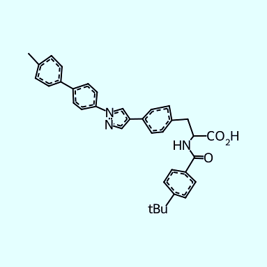 Cc1ccc(-c2ccc(-n3cc(-c4ccc(CC(NC(=O)c5ccc(C(C)(C)C)cc5)C(=O)O)cc4)cn3)cc2)cc1